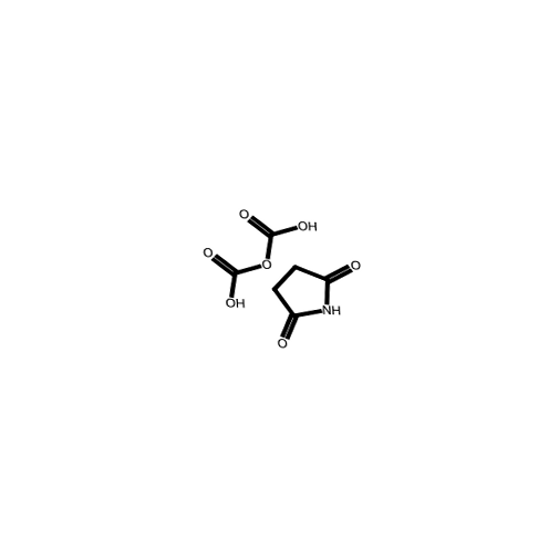 O=C(O)OC(=O)O.O=C1CCC(=O)N1